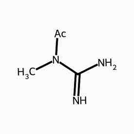 CC(=O)N(C)C(=N)N